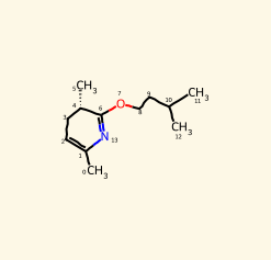 CC1=CC[C@H](C)C(OCCC(C)C)=N1